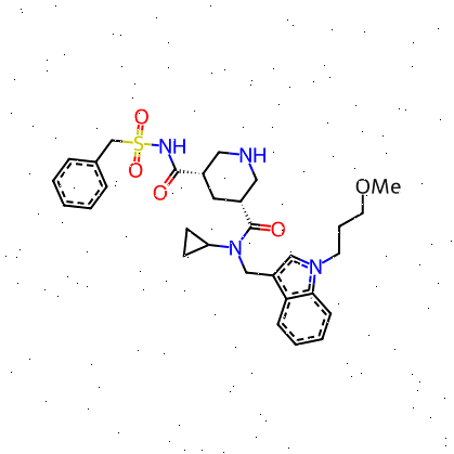 COCCCn1cc(CN(C(=O)[C@H]2CNC[C@@H](C(=O)NS(=O)(=O)Cc3ccccc3)C2)C2CC2)c2ccccc21